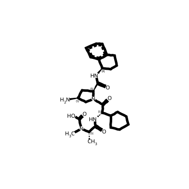 C[C@@H](C(=O)N[C@H](C(=O)N1C[C@@H](N)C[C@H]1C(=O)N[C@@H]1CCCc2ccccc21)C1CCCCC1)N(C)C(=O)O